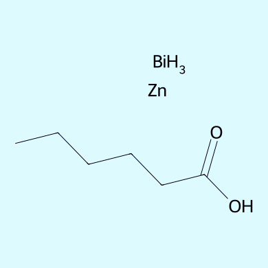 CCCCCC(=O)O.[BiH3].[Zn]